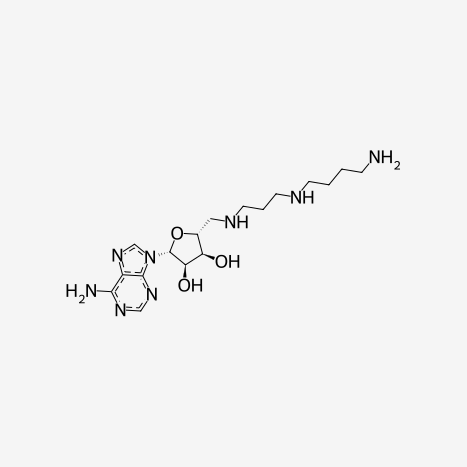 NCCCCNCCCNC[C@H]1O[C@@H](n2cnc3c(N)ncnc32)[C@H](O)[C@@H]1O